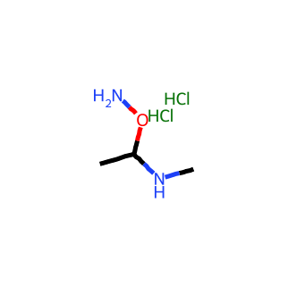 CNC(C)ON.Cl.Cl